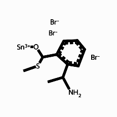 CSC([O][Sn+3])c1ccccc1C(C)N.[Br-].[Br-].[Br-]